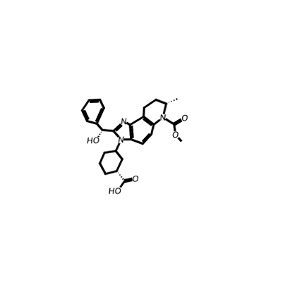 COC(=O)N1c2ccc3c(nc([C@H](O)c4ccccc4)n3C3CCC[C@@H](C(=O)O)C3)c2CC[C@@H]1C